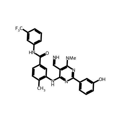 CNc1nc(-c2cccc(O)c2)nc(Nc2cc(C(=O)Nc3cccc(C(F)(F)F)c3)ccc2C)c1C=N